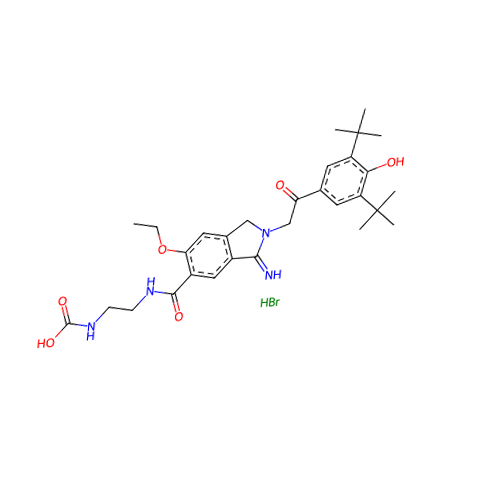 Br.CCOc1cc2c(cc1C(=O)NCCNC(=O)O)C(=N)N(CC(=O)c1cc(C(C)(C)C)c(O)c(C(C)(C)C)c1)C2